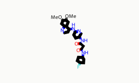 COc1cc2nccc(Nc3ccc(NC(=O)CC(=O)Nc4ccc(F)cc4)cn3)c2cc1OC